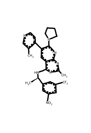 Cc1nc(N[C@H](C)c2cc([N+](=O)[O-])cc(C(F)(F)F)c2)c2cc(-c3ccncc3C)c(N3CCCC3)nc2n1